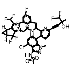 Cn1nc(NS(C)(=O)=O)c2c(Cl)ccc(-c3ccc(C#CC(C)(O)C(F)F)nc3/C(=C/c3cc(F)cc(F)c3)NC(=O)Cn3nc(C(F)F)c4c3C(F)(F)[C@@H]3C[C@H]43)c21